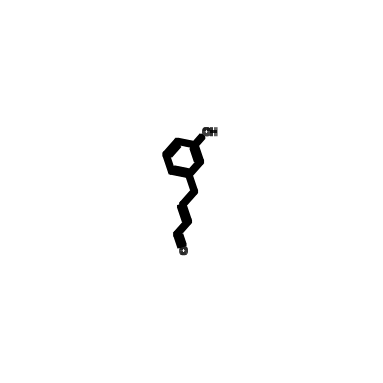 O=CC=CCc1cccc(O)c1